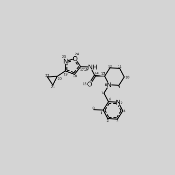 Cc1cccnc1CN1CCCC[C@@H]1C(=O)Nc1cc(C2CC2)no1